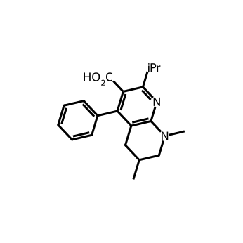 CC1Cc2c(nc(C(C)C)c(C(=O)O)c2-c2ccccc2)N(C)C1